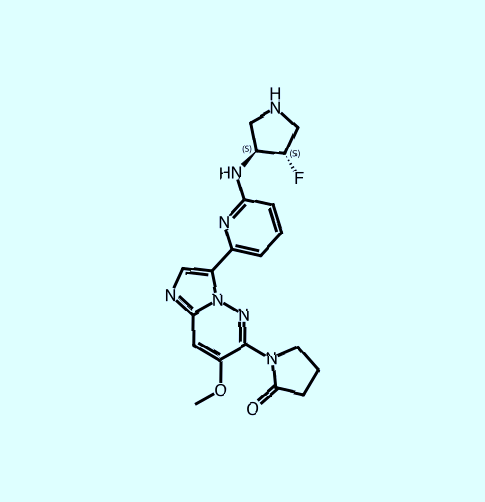 COc1cc2ncc(-c3cccc(N[C@H]4CNC[C@@H]4F)n3)n2nc1N1CCCC1=O